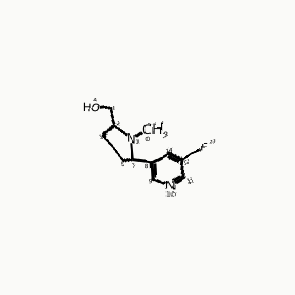 CN1C(CO)CCC1c1cncc(F)c1